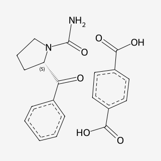 NC(=O)N1CCC[C@H]1C(=O)c1ccccc1.O=C(O)c1ccc(C(=O)O)cc1